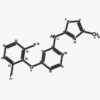 Cc1csc(Nc2cc(Oc3c(F)cccc3F)ccn2)n1